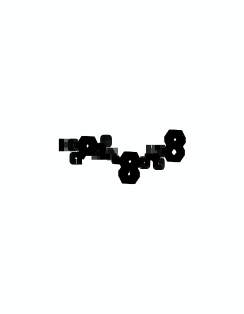 O=C(COc1ccc(/C=N/NC(=O)c2ccc(O)c(Cl)c2)c2ccccc12)NC1CCCc2ccccc21